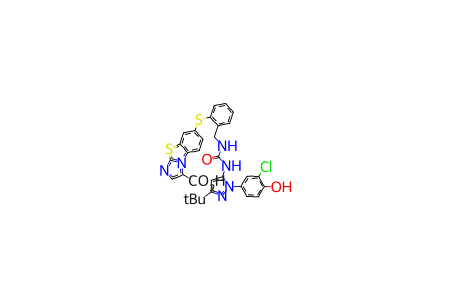 CC(C)(C)c1cc(NC(=O)NCc2ccccc2Sc2ccc3c(c2)sc2ncc(C(=O)O)n23)n(-c2ccc(O)c(Cl)c2)n1